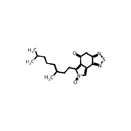 CC(C)CCCC(C)CCC1=C2C(=O)Cc3nsnc3C2=C[N+]1=O